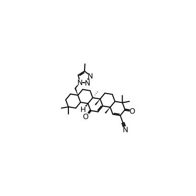 Cc1cn(C[C@]23CCC(C)(C)CC2[C@H]2C(=O)C=C4[C@@]5(C)C=C(C#N)C(=O)C(C)(C)C5CC[C@@]4(C)[C@]2(C)CC3)nn1